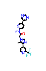 Cc1c(-c2ccnc(C(F)(F)F)c2)ncn1CC(=O)Nc1ccc(-c2cncnc2)cn1